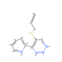 C=CCSc1cnnnc1-c1ccccn1